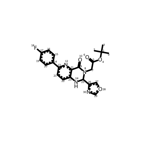 CC(C)(C)OC(=O)CN1C(=O)c2nc(-c3ccc(F)cc3)ccc2NC1c1cocn1